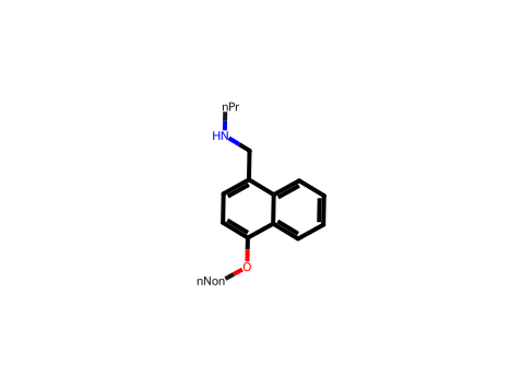 [CH2]CCNCc1ccc(OCCCCCCCCC)c2ccccc12